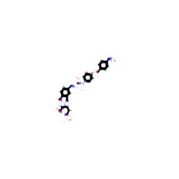 C[C@@]1(N2Cc3cc(CNC(=O)Nc4ccc(OCc5ccc(CN)cc5)cc4)ccc3C2=O)CCC(=O)NC1=O